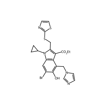 CCOC(=O)c1c(CSc2nccs2)n(C2CC2)c2cc(Br)c(O)c(Cn3ccnc3)c12